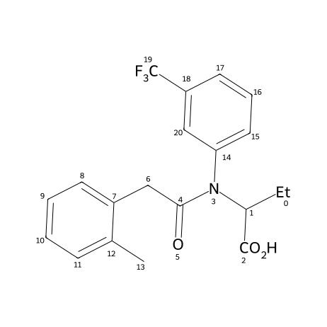 CCC(C(=O)O)N(C(=O)Cc1ccccc1C)c1cccc(C(F)(F)F)c1